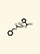 O=C(NS(=O)(=O)n1cccc1C(=O)O)OCc1ccccc1